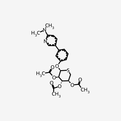 CC(=O)O[C@@H]1[C@@H](OC(C)=O)[C@@H](Oc2cccc(-c3ccc(N(C)C)nc3)c2)SC[C@H]1OC(C)=O